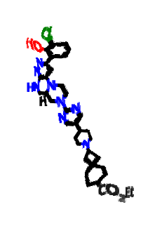 CCOC(=O)C1CCC2(CC1)CC(N1CCC(c3cnc(N4CCN5c6cc(-c7cccc(Cl)c7O)nnc6NC[C@H]5C4)nc3)CC1)C2